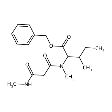 CCC(C)C(C(=O)OCc1ccccc1)N(C)C(=O)CC(=O)NC